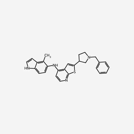 Cc1c(Nc2ccnc3sc(C4CCN(Cc5ccccc5)C4)cc23)ccc2[nH]ccc12